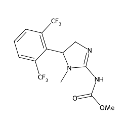 COC(=O)NC1=NCC(c2c(C(F)(F)F)cccc2C(F)(F)F)N1C